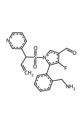 C=CC(c1cccnc1)S(=O)(=O)n1cc(C=O)c(F)c1-c1ccccc1CN